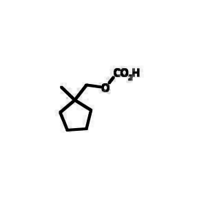 CC1(COC(=O)O)CCCC1